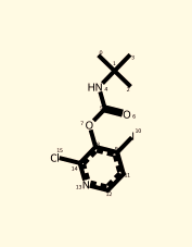 CC(C)(C)NC(=O)Oc1c(I)ccnc1Cl